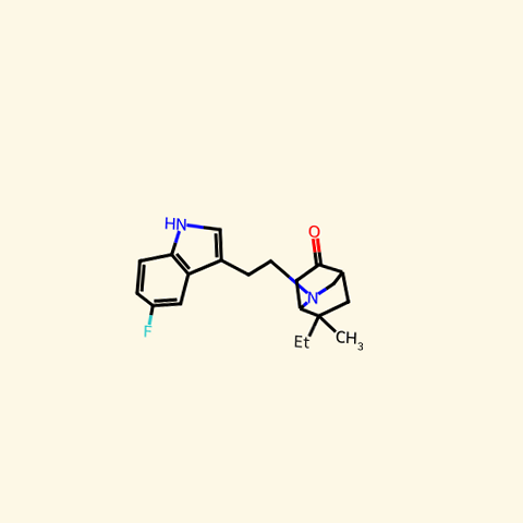 CCC1(C)CC2CN(CCc3c[nH]c4ccc(F)cc34)C1CC2=O